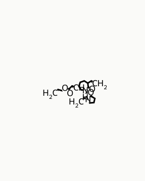 C=CC1CCCCNC1=O.C=CCOC(=O)C=C.C=CN1CCCC1=O